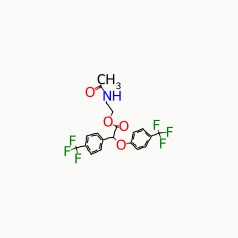 CC(=O)NCCOC(=O)C(Oc1ccc(C(F)(F)F)cc1)c1ccc(C(F)(F)F)cc1